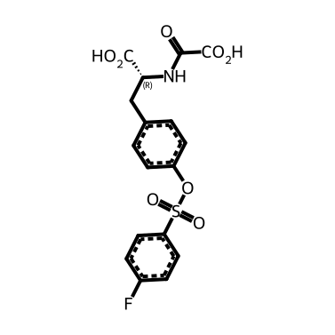 O=C(O)C(=O)N[C@H](Cc1ccc(OS(=O)(=O)c2ccc(F)cc2)cc1)C(=O)O